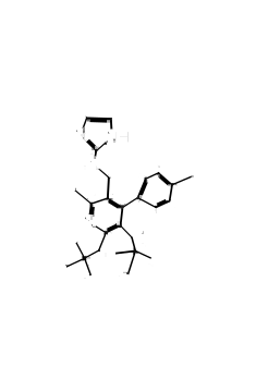 Cc1ccc(-c2c(CSc3ncc[nH]3)c(C)nc(CC(C)(C)C)c2CC(C)(C)C)cc1